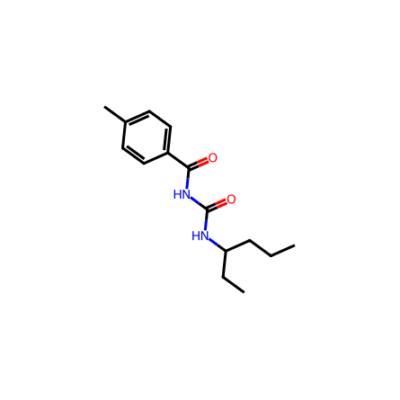 CCCC(CC)NC(=O)NC(=O)c1ccc(C)cc1